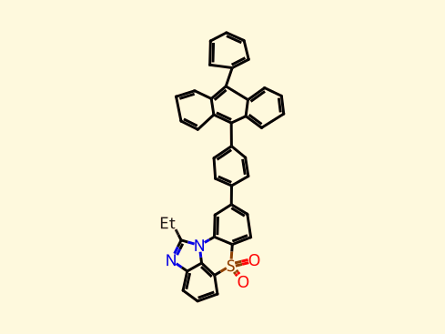 CCc1nc2cccc3c2n1-c1cc(-c2ccc(-c4c5ccccc5c(-c5ccccc5)c5ccccc45)cc2)ccc1S3(=O)=O